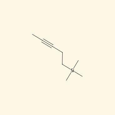 CC#CCC[Si](C)(C)C